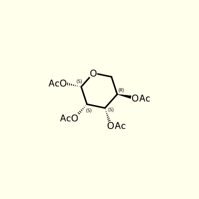 CC(=O)O[C@@H]1OC[C@@H](OC(C)=O)[C@H](OC(C)=O)[C@@H]1OC(C)=O